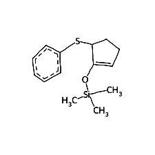 C[Si](C)(C)OC1=CCCC1Sc1ccccc1